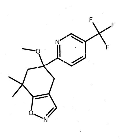 COC1(c2ccc(C(F)(F)F)cn2)Cc2cnoc2C(C)(C)C1